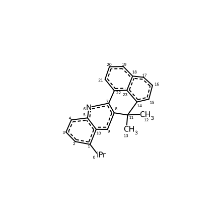 CC(C)c1cccc2nc3c(cc12)C(C)(C)c1cccc2cccc-3c12